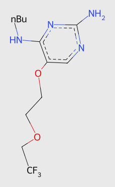 CCCCNc1nc(N)ncc1OCCOCC(F)(F)F